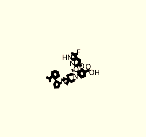 COc1nc2[nH]cc(F)c2cc1Oc1cc(N2CCC3(CC2)CN([C@H]2CCC[C@H]2c2ccccc2C(C)C)C3)ccc1C(=O)O